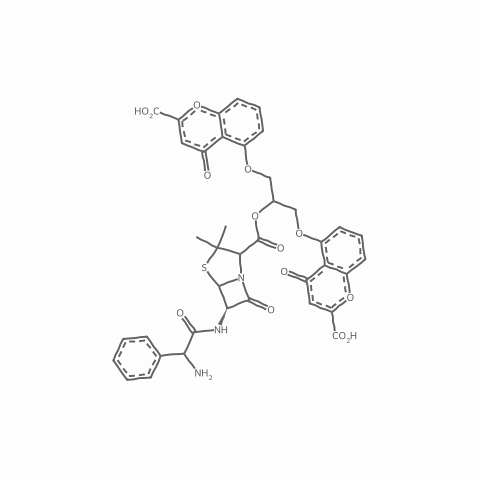 CC1(C)SC2[C@H](NC(=O)C(N)c3ccccc3)C(=O)N2C1C(=O)OC(COc1cccc2oc(C(=O)O)cc(=O)c12)COc1cccc2oc(C(=O)O)cc(=O)c12